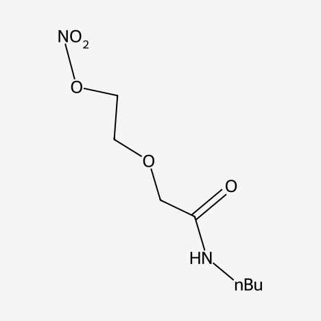 CCCCNC(=O)COCCO[N+](=O)[O-]